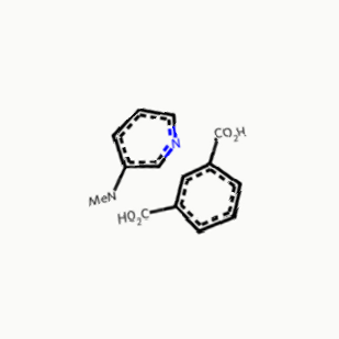 CNc1cccnc1.O=C(O)c1cccc(C(=O)O)c1